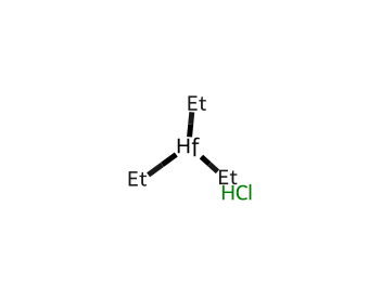 C[CH2][Hf]([CH2]C)[CH2]C.Cl